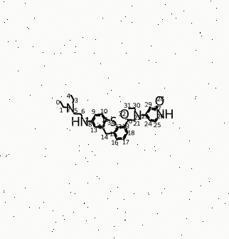 CCN(CC)CCNc1ccc2c(c1)Cc1cccc(C3CN(c4cc[nH]c(=O)c4)CCO3)c1S2